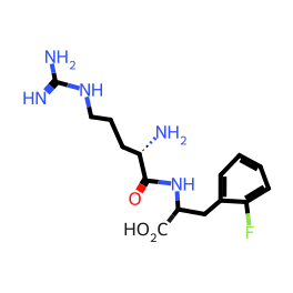 N=C(N)NCCC[C@H](N)C(=O)NC(Cc1ccccc1F)C(=O)O